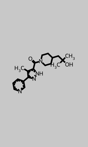 Cc1c(-c2cccnc2)n[nH]c1C(=O)N1CCC(CC(C)(C)O)CC1